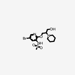 CS(=O)(=O)Nc1cc(Br)cnc1OCC(CO)N1CCCCC1